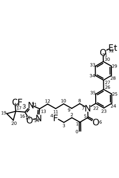 C=C(CCF)C(=O)N(CCCCCc1noc(C2(C(F)(F)F)CC2)n1)c1cccc(-c2ccc(OCC)cc2)c1